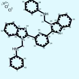 [Cl-].[Cl-].[V+2].c1ccc(NCn2c(-c3cccc(-c4nc5ccccc5n4CNc4ccccc4)n3)nc3ccccc32)cc1